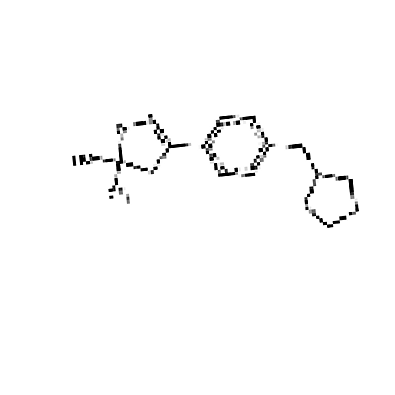 OC1(C(F)(F)F)CC(c2ccc(CC3CCCC3)cc2)=NO1